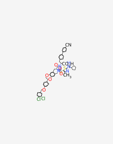 Cc1nc(NC2CCCC2)sc1S(=O)(=O)N1Cc2cc3c(cc2C[C@H]1C(=O)NC(Cc1ccc(-c2ccc(C#N)cc2)cc1)C(=O)O)OC[C@H](c1ccc(OCc2ccc(Cl)c(Cl)c2)cc1)O3